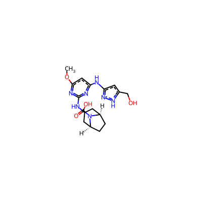 COc1cc(Nc2cc(CO)[nH]n2)nc(NC2C[C@H]3CC[C@@H](C2)N3C(=O)O)n1